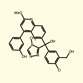 COc1cc(-c2cccc(O)c2)c2cc(C(O)(c3ccc(Cl)c(CO)c3)c3nncn3C)ccc2n1